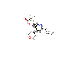 O=C(O)C(F)(F)F.O=C(O)Cc1cc(C2CCOCC2)ccn1.[LiH]